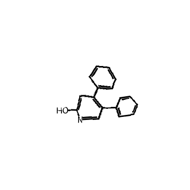 Oc1cc(-c2ccccc2)c(-c2ccccc2)cn1